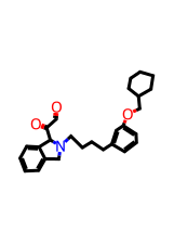 O=CC(=O)C1c2ccccc2CN1CCCCc1cccc(OCC2CCCCC2)c1